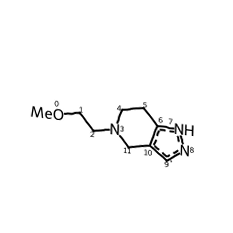 COCCN1CCc2[nH]n[c]c2C1